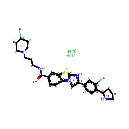 Cl.Cl.O=C(NCCCN1CCC(F)CC1)c1ccc2c(c1)sc1nc(-c3ccc(C4CCCN4)c(F)c3)cn12